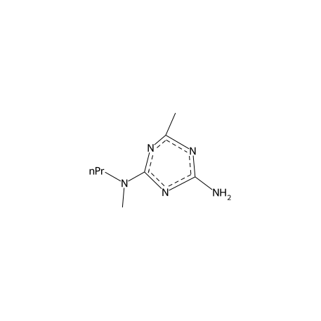 CCCN(C)c1nc(C)nc(N)n1